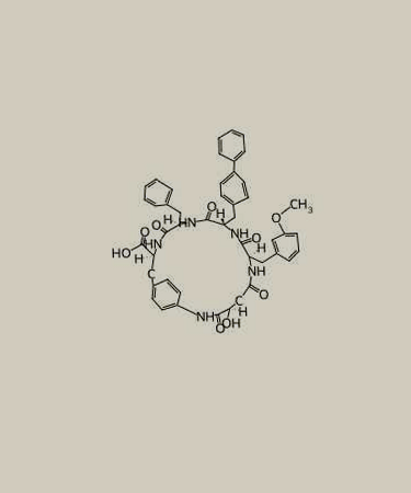 COc1cccc(C[C@H]2NC(=O)C[C@@H](O)C(=O)Nc3ccc(cc3)C[C@@H](C(=O)O)NC(=O)[C@@H](Cc3ccccc3)NC(=O)[C@H](Cc3ccc(-c4ccccc4)cc3)NC2=O)c1